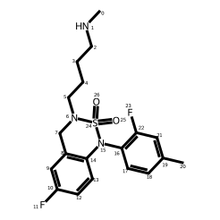 CNCCCCN1Cc2cc(F)ccc2N(c2ccc(C)cc2F)S1(=O)=O